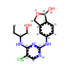 CCC(CO)Nc1nc(Nc2ccc3c(c2)COB3O)ncc1Cl